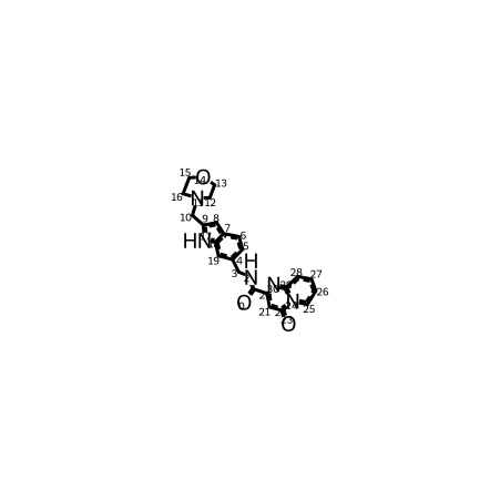 O=C(NCc1ccc2cc(CN3CCOCC3)[nH]c2c1)c1cc(=O)n2ccccc2n1